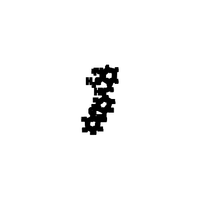 Cc1c(F)cccc1CNc1ccc2c(c1)Oc1ccccc1S2